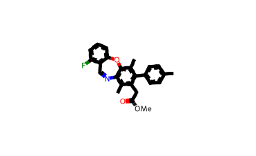 COC(=O)Cc1c(C)c2c(c(C)c1-c1ccc(C)cc1)Oc1cccc(F)c1C=N2